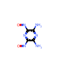 Nc1nc(N)c(N=O)nc1N=O